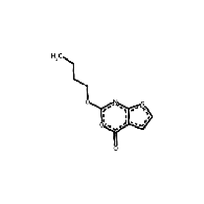 CCCCOc1nc2sccc2c(=O)o1